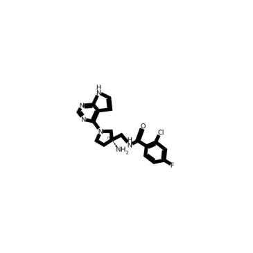 N[C@]1(CNC(=O)c2ccc(F)cc2Cl)CCN(c2ncnc3[nH]ccc23)C1